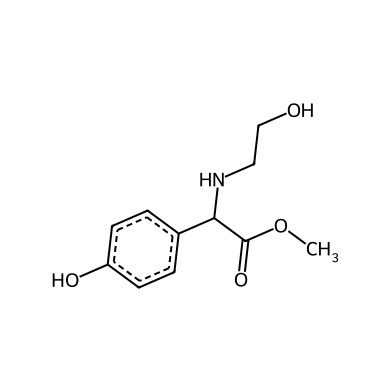 COC(=O)C(NCCO)c1ccc(O)cc1